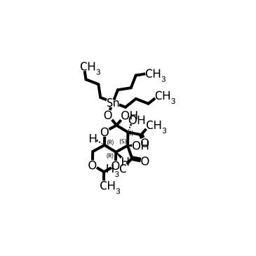 CCC[CH2][Sn]([CH2]CCC)([CH2]CCC)[O]C1(O)O[C@@H]2COC(C)O[C@H]2[C@@](O)(C(C)=O)[C@]1(O)C(C)=O